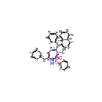 O=P1(Oc2ccccc2)NC(Cc2ccccc2)=CC=C(Cc2ccccc2)N1Cc1ccc2ccccc2c1